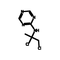 CC(Cl)(CCl)Nc1ncncn1